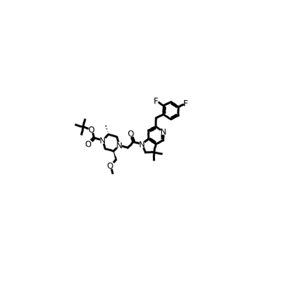 COC[C@H]1CN(C(=O)OC(C)(C)C)[C@H](C)CN1CC(=O)N1CC(C)(C)c2cnc(Cc3ccc(F)cc3F)cc21